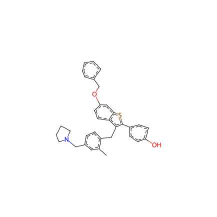 Cc1cc(CN2CCCC2)ccc1Cc1c(-c2ccc(O)cc2)sc2cc(OCc3ccccc3)ccc12